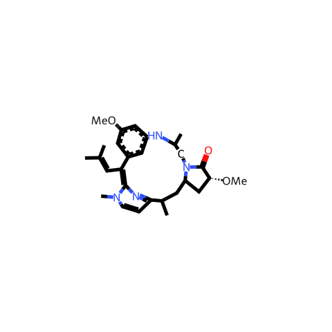 COc1cc2cc(c1)/C(C=C(C)C)=C1\N=C(C=CN1C)C(C)CC1C[C@@H](OC)C(=O)N1CC(C)N2